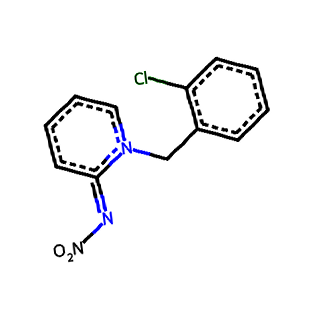 O=[N+]([O-])/N=c1\ccccn1Cc1ccccc1Cl